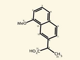 COc1cccc2ccc(C(C)C(=O)O)cc12